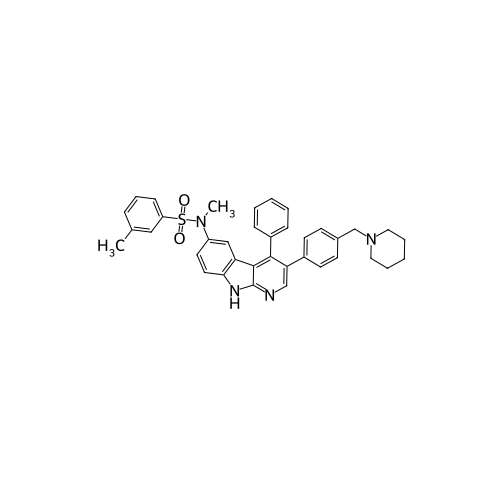 Cc1cccc(S(=O)(=O)N(C)c2ccc3[nH]c4ncc(-c5ccc(CN6CCCCC6)cc5)c(-c5ccccc5)c4c3c2)c1